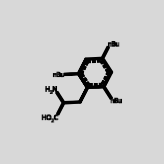 CCCCc1cc(CCCC)c(CC(N)C(=O)O)c(CCCC)c1